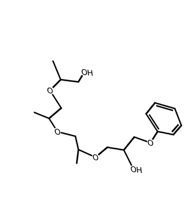 CC(CO)OCC(C)OCC(C)OCC(O)COc1ccccc1